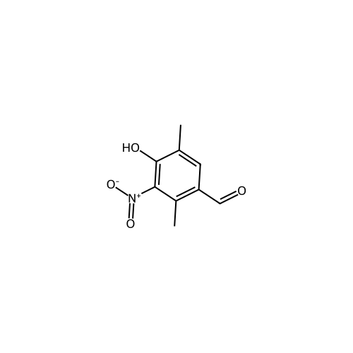 Cc1cc(C=O)c(C)c([N+](=O)[O-])c1O